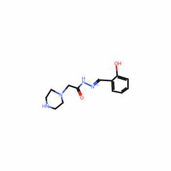 O=C(CN1CCNCC1)N/N=C/c1ccccc1O